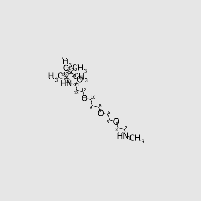 CNCCOCCOCCCOCCC(=O)N[C@H](C)C(C)(C)C